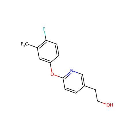 OCCc1ccc(Oc2ccc(F)c(C(F)(F)F)c2)nc1